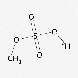 [2H]OS(=O)(=O)OC